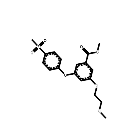 COCCOc1cc(Oc2ccc(S(C)(=O)=O)cc2)cc(C(=O)OC)c1